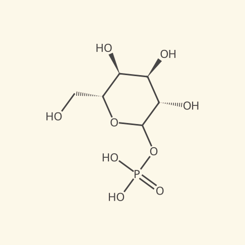 O=P(O)(O)OC1O[C@H](CO)[C@@H](O)[C@@H](O)[C@@H]1O